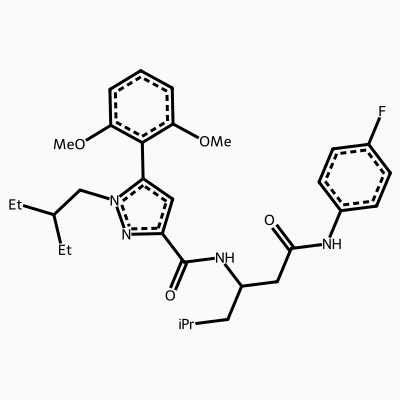 CCC(CC)Cn1nc(C(=O)NC(CC(=O)Nc2ccc(F)cc2)CC(C)C)cc1-c1c(OC)cccc1OC